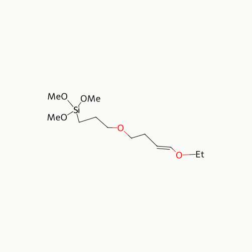 CCOC=CCCOCCC[Si](OC)(OC)OC